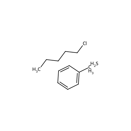 CCCCCCl.Cc1ccccc1.S